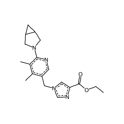 CCOC(=O)c1cn(Cc2cnc(N3CC4CC4C3)c(C)c2C)cn1